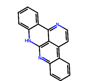 c1ccc2c(c1)Nc1nc3ccccc3c3ccnc-2c13